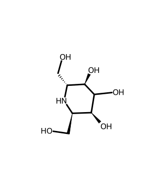 OC[C@H]1N[C@H](CO)[C@@H](O)C(O)[C@H]1O